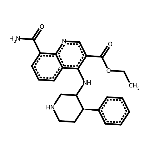 CCOC(=O)c1cnc2c(C(N)=O)cccc2c1NC1CNCC[C@@H]1c1ccccc1